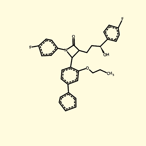 CCCOc1cc(-c2ccccc2)ccc1C1C(CC[C@H](O)c2ccc(F)cc2)C(=O)N1c1ccc(F)cc1